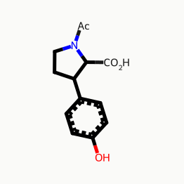 CC(=O)N1CCC(c2ccc(O)cc2)C1C(=O)O